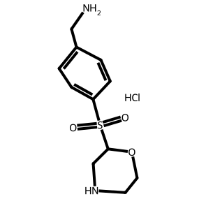 Cl.NCc1ccc(S(=O)(=O)C2CNCCO2)cc1